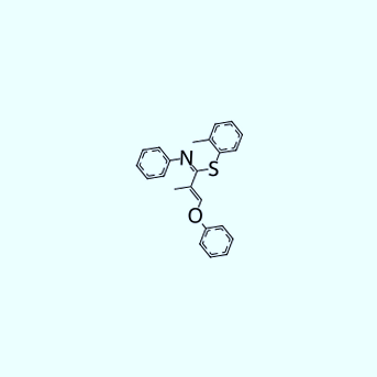 CC(=C\Oc1ccccc1)/C(=N\c1ccccc1)Sc1ccccc1C